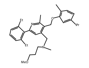 CCc1cccc(CC)c1-c1cc(CN(C)CCCOC)c(COc2cc(C(C)C)ccc2C)c(C)n1